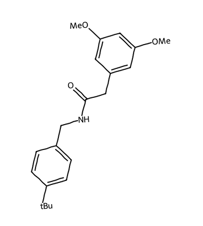 COc1cc(CC(=O)NCc2ccc(C(C)(C)C)cc2)cc(OC)c1